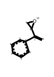 C=C(c1ccccc1)C1CO1